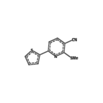 [CH2]Sc1nc(-c2cccs2)ccc1C#N